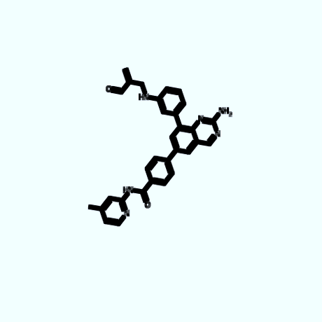 C=C(C=O)CNc1cccc(-c2cc(-c3ccc(C(=O)Nc4cc(C)ccn4)cc3)cc3cnc(N)nc23)c1